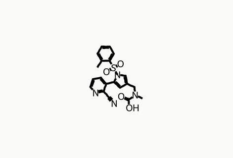 Cc1ccccc1S(=O)(=O)n1cc(CN(C)C(=O)O)cc1-c1cccnc1C#N